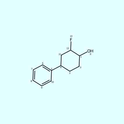 OC1CCC(c2ccccc2)CC1F